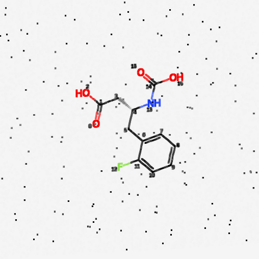 O=C(O)C[C@@H](Cc1ccccc1F)NC(=O)O